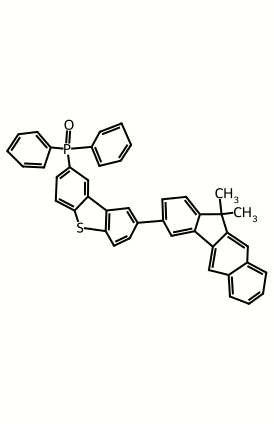 CC1(C)c2ccc(-c3ccc4sc5ccc(P(=O)(c6ccccc6)c6ccccc6)cc5c4c3)cc2-c2cc3ccccc3cc21